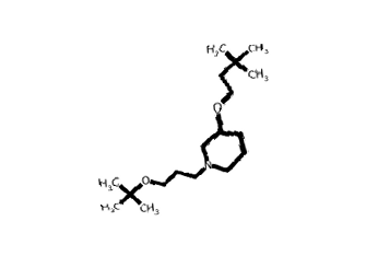 CC(C)(C)CCOC1CCCN(CCCOC(C)(C)C)C1